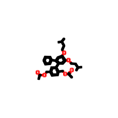 CC(=O)OCc1ccc(COC(C)=O)c(-c2cc(OCCC(C)C)c(OCCC(C)C)cc2-c2ccccc2)c1